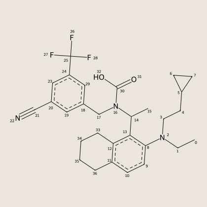 CCN(CCC1CC1)c1ccc2c(c1C(C)N(Cc1cc(C#N)cc(C(F)(F)F)c1)C(=O)O)CCCC2